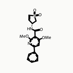 COc1cc(-c2ccccc2)nc(OC)c1C(=O)N[C@@H]1C=CS(=O)(=O)C1